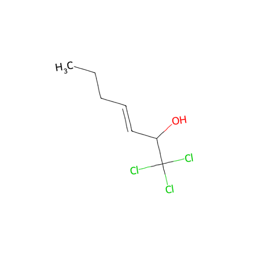 CCC/C=C/C(O)C(Cl)(Cl)Cl